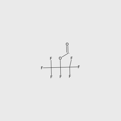 O=[C]OC(F)(C(F)(F)F)C(F)(F)F